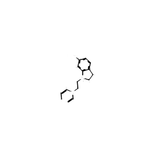 C=CN(/C=C\C)CCN1CCc2ccc(N)cc21